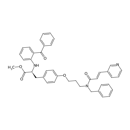 COC(=O)[C@H](Cc1ccc(OCCCN(Cc2ccccc2)C(=O)C=Cc2cccnc2)cc1)Nc1ccccc1C(=O)c1ccccc1